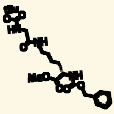 COC(=O)[C@H](CCCCNC(=O)CNC(=O)OC(C)(C)C)NC(=O)OCc1ccccc1